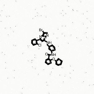 O=C(Nc1cccc(CNc2cc(-c3ccccc3Cl)nc3c(Br)cnn23)c1)c1ccccc1Oc1ccccc1